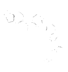 C[N+]1(C)CCN(C(=O)c2cc3ccc(-c4nccc(Nc5ccc6[nH]ncc6c5)n4)cc3[nH]2)CC1